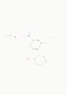 CCC(CC(=O)O)c1cccc(C(=N)N)c1.COC(=O)c1ccccc1.O=C(O)C(F)(F)F